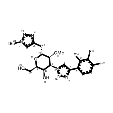 CO[C@@H]1[C@@H](n2cc(-c3ccc(F)c(F)c3F)nn2)[C@@H](O)[C@@H](CO)O[C@@H]1Cc1cn(C(C)(C)C)nn1